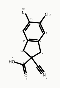 N#CC1(C(=O)O)Cc2cc(Cl)c(Cl)cc2C1